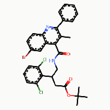 Cc1c(-c2ccccc2)nc2ccc(Br)cc2c1C(=O)NCC(CC(=O)OC(C)(C)C)c1c(Cl)cccc1Cl